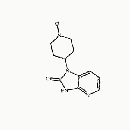 O=c1[nH]c2ncccc2n1C1CCN(Cl)CC1